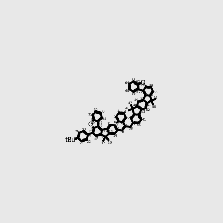 Cc1ccccc1/C(=C\c1ccc2c(c1)C(C)(C)c1cc(-c3ccc(C(C)(C)C)cc3)c3oc4ccccc4c3c1-2)Cc1ccc2c(c1)C(C)(C)c1cc3c(cc1-2)C(C)(C)c1ccc2oc4ccccc4c2c1-3